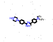 CCCN(CCC)c1ccc(/C(C)=N/C(=N)c2ccc(N3CCNCC3)cc2)cc1